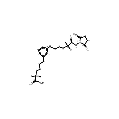 CC(C)(CCCCc1cccc(CCCCC(C)(C)C(=O)ON2C(=O)CCC2=O)c1)C(=O)O